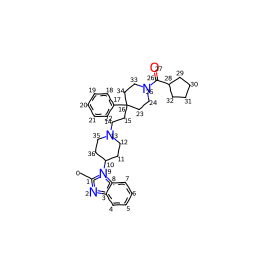 Cc1nc2ccccc2n1C1CCN(CCC2(c3ccccc3)CCN(C(=O)C3CCCC3)CC2)CC1